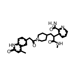 CNC(=O)C(CC1CCN(C(=O)Cc2ccc3[nH]c(=O)cc(C)c3c2)CC1)c1cccnc1C(N)=O